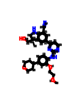 COCCOc1cc(C2CCOCC2)ccc1Nc1nccc(-c2cc(C#N)c3c(c2)[C@@](C)(CO)CN3)n1